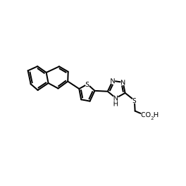 O=C(O)CSc1nnc(-c2ccc(-c3ccc4ccccc4c3)s2)[nH]1